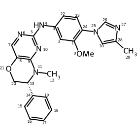 COc1cc(Nc2ncc3c(n2)N(C)[C@H](c2ccccc2)CO3)ccc1-n1cnc(C)c1